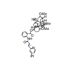 CCN1C[C@]2(OC(=O)c3ccccc3NC(=O)/C=C/c3cc(C(C)C)ccn3)CC[C@H](OC)[C@]34C1[C@@H](C[C@H]23)[C@@]1(O)C[C@H](OC)[C@H]2C[C@@H]4[C@]1(O)[C@H]2OC